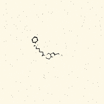 CN(C)CC1=CC2CN(C(=O)CCCCS(=O)(=O)c3ccccc3)CCC2O1